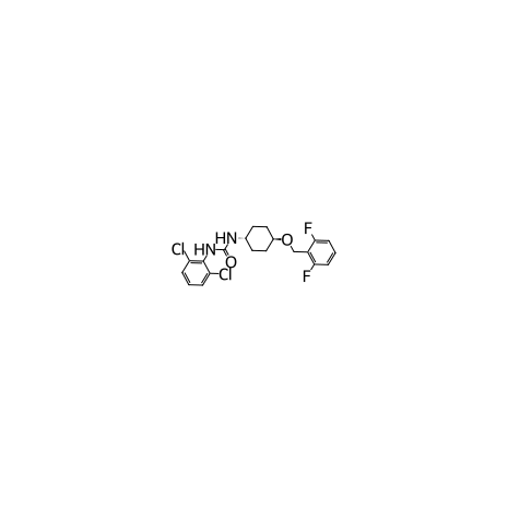 O=C(Nc1c(Cl)cccc1Cl)N[C@H]1CC[C@H](OCc2c(F)cccc2F)CC1